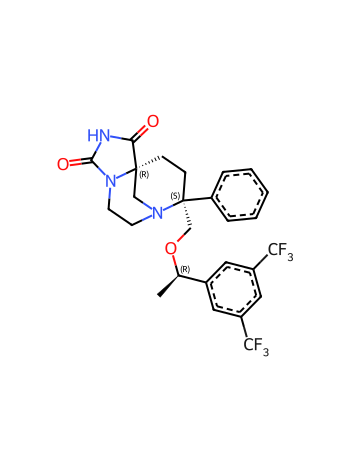 C[C@@H](OC[C@@]1(c2ccccc2)CC[C@]23CN1CCN2C(=O)NC3=O)c1cc(C(F)(F)F)cc(C(F)(F)F)c1